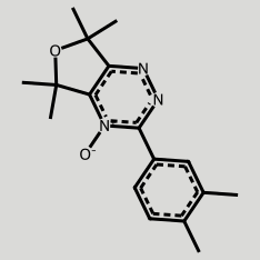 Cc1ccc(-c2nnc3c([n+]2[O-])C(C)(C)OC3(C)C)cc1C